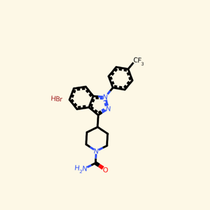 Br.NC(=O)N1CCC(c2nn(-c3ccc(C(F)(F)F)cc3)c3ccccc23)CC1